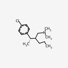 CCCC(CN(C)C)[C@H](C)c1ccc(Cl)cc1